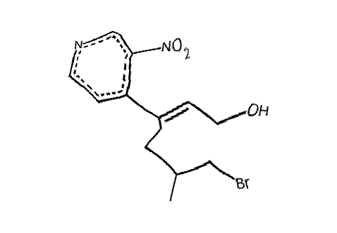 CC(CBr)CC(=CCO)c1ccncc1[N+](=O)[O-]